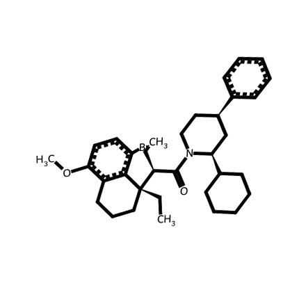 CC[C@@H](C(=O)N1CC[C@@H](c2ccccc2)C[C@H]1C1CCCCC1)[C@]1(CC)CCCc2c(OC)ccc(Br)c21